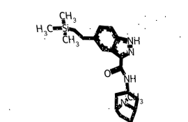 CN1C2CCC1CC(NC(=O)c1n[nH]c3ccc(CC[Si](C)(C)C)cc13)C2